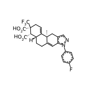 C[C@]12Cc3cnn(-c4ccc(F)cc4)c3C=C1CC[C@H]1C2=CC[C@](C(=O)O)(C(F)(F)F)[C@H]1C(=O)O